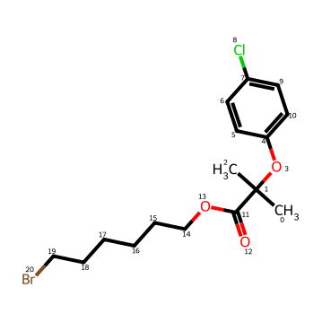 CC(C)(Oc1ccc(Cl)cc1)C(=O)OCCCCCCBr